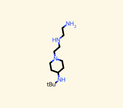 CC(C)(C)NC1CCN(CCNCCN)CC1